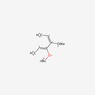 CC=C(OC)C(=CC)OCCCC